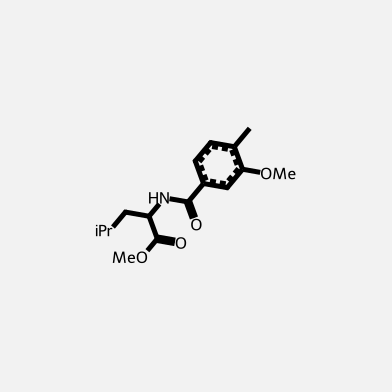 COC(=O)C(CC(C)C)NC(=O)c1ccc(C)c(OC)c1